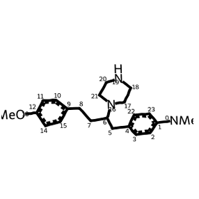 CNc1ccc(CC(CCc2ccc(OC)cc2)N2CCNCC2)cc1